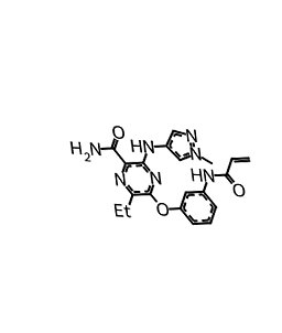 C=CC(=O)Nc1cccc(Oc2nc(Nc3cnn(C)c3)c(C(N)=O)nc2CC)c1